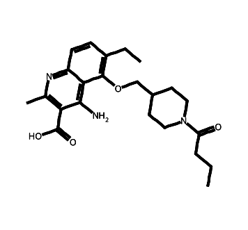 CCCC(=O)N1CCC(COc2c(CC)ccc3nc(C)c(C(=O)O)c(N)c23)CC1